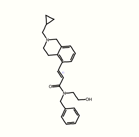 O=C(/C=C/c1cccc2c1CCN(CC1CC1)C2)N(CCO)Cc1ccccc1